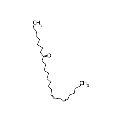 CCCCC/C=C\C/C=C\CCCCCCCCC(=O)CCCCCCCC